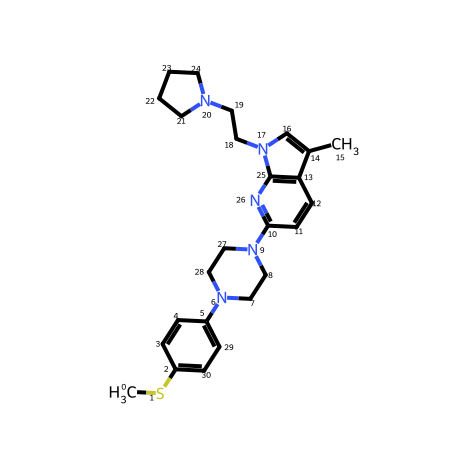 CSc1ccc(N2CCN(c3ccc4c(C)cn(CCN5CCCC5)c4n3)CC2)cc1